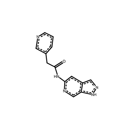 O=C(Cc1cccnc1)Nc1cc2cn[nH]c2cn1